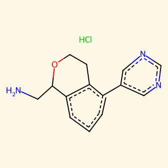 Cl.NCC1OCCc2c(-c3cncnc3)cccc21